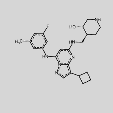 Cc1cc(F)cc(Nc2cc(NC[C@@H]3CCNC[C@H]3O)nc3c(C4CCC4)cnn23)c1